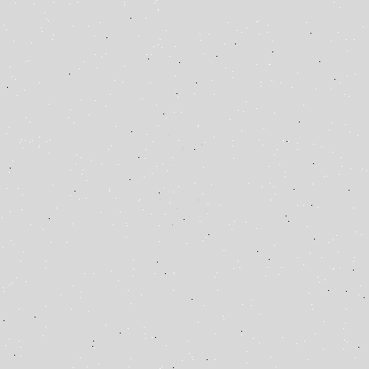 OC(C#Cc1cccs1)c1ccc(Cl)cc1